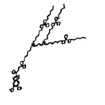 CCCCCCOC(=O)OCCCCCCN(CCCCCCOC(=O)CCC(=O)c1cc2cc(OC)c(OC)cc2s1)CCCN(CCCCCCOC(=O)OCCCCCC)CCCCCCOC(=O)OCCCCCC